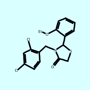 CCOc1ccccc1C1SCC(=O)N1Cc1ccc(Cl)cc1Cl